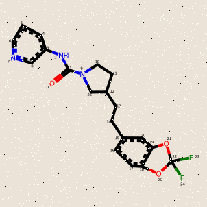 O=C(Nc1cccnc1)N1CCC(CCc2ccc3c(c2)OC(F)(F)O3)C1